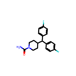 NC(=O)N1CCC(C(c2ccc(F)cc2)c2ccc(F)cc2)CC1